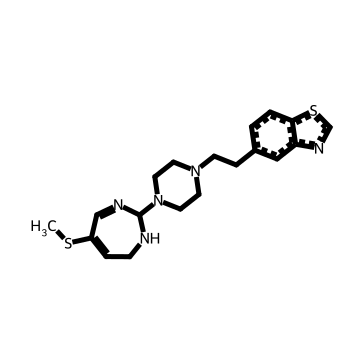 CSC1=CCNC(N2CCN(CCc3ccc4scnc4c3)CC2)N=C1